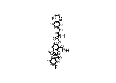 COc1ccc(CC(=O)NCCc2ccc3c(c2)OCCO3)c(CO)c1OS(=O)(=O)c1cccc(F)c1